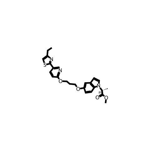 CCc1csc(-c2ccc(OCCCOc3ccc4c(ccn4[C@H](C)C(=O)OC)c3)nc2)n1